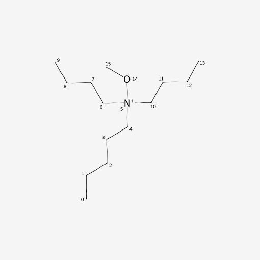 CCCCC[N+](CCCC)(CCCC)OC